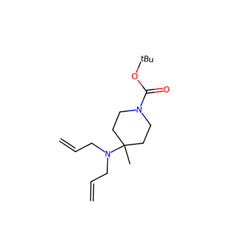 C=CCN(CC=C)C1(C)CCN(C(=O)OC(C)(C)C)CC1